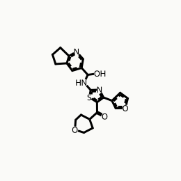 O=C(c1sc(NC(O)c2cnc3c(c2)CCC3)nc1-c1ccoc1)C1CCOCC1